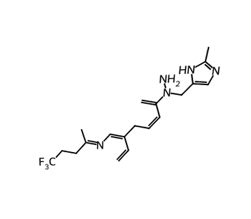 C=C/C(=C\N=C(/C)CCC(F)(F)F)C/C=C\C(=C)N(N)Cc1cnc(C)[nH]1